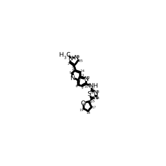 Cn1cc(-c2cnc3ccc(Nc4nnc([C@H]5CCCO5)s4)nc3c2)cn1